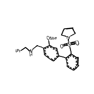 COc1cc(-c2ccccc2S(=O)(=O)N2CCCC2)ccc1CNCC(C)C